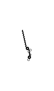 CCCCCCCCCCCCCCCCc1ccc(C(=O)OCCOc2ccc(OC)cc2)cc1